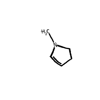 [CH2]N1C=CCC1